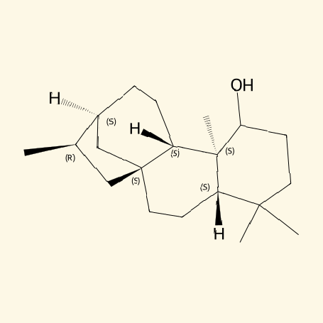 C[C@@H]1C[C@]23CC[C@H]4C(C)(C)CCC(O)[C@]4(C)[C@H]2CC[C@H]1C3